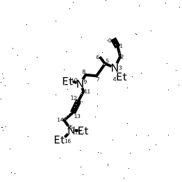 C#CCN(CC)C(C)CCN(CC)CC#CCN(CC)CC